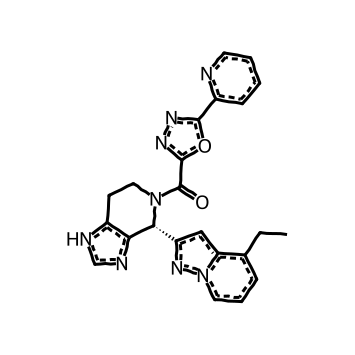 CCc1cccn2nc([C@@H]3c4nc[nH]c4CCN3C(=O)c3nnc(-c4ccccn4)o3)cc12